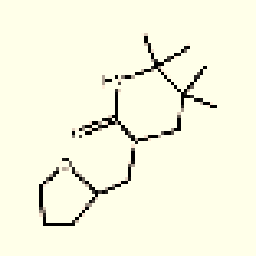 CC1(C)CC(CC2CCCO2)C(=O)NC1(C)C